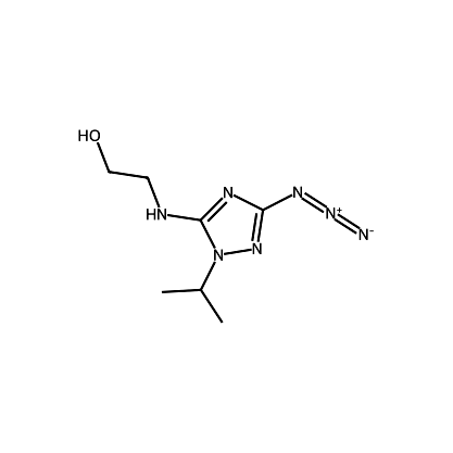 CC(C)n1nc(N=[N+]=[N-])nc1NCCO